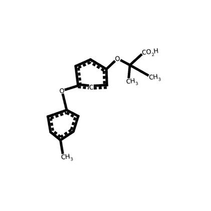 Cc1ccc(Oc2ccc(OC(C)(C)C(=O)O)cc2)cc1